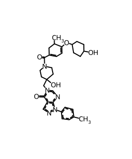 Cc1ccc(-n2ncc3c(=O)n(CC4(O)CCN(C(=O)C5=CC=C(OC6CCC(O)CC6)C(C)C5)CC4)cnc32)cc1